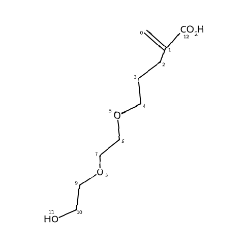 C=C(CCCOCCOCCO)C(=O)O